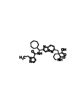 CCn1nccc1C(=O)NC(c1cn2nc(CC3(C(=O)O)CCCNC3=O)ccc2n1)C1CCCCCC1